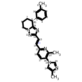 Cc1cccc([C@H]2CCCn3nc(/C=C/c4ccc(-n5cnc(C)c5)c(C)n4)nc32)c1